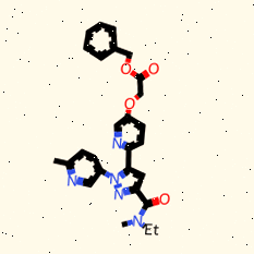 CCN(C)C(=O)c1cc(-c2ccc(OCC(=O)OCc3ccccc3)cn2)n(-c2ccc(C)nc2)n1